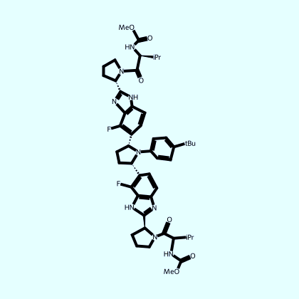 COC(=O)NC(C(=O)N1CCC[C@H]1c1nc2ccc([C@@H]3CC[C@H](c4ccc5[nH]c([C@@H]6CCCN6C(=O)[C@@H](NC(=O)OC)C(C)C)nc5c4F)N3c3ccc(C(C)(C)C)cc3)c(F)c2[nH]1)C(C)C